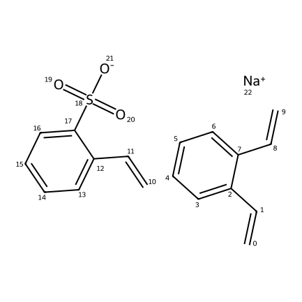 C=Cc1ccccc1C=C.C=Cc1ccccc1S(=O)(=O)[O-].[Na+]